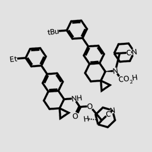 CC(C)(C)c1cccc(-c2ccc3c(c2)CCC2(CC2)[C@@H]3N(C(=O)O)C2CN3CCC2CC3)c1.CCc1cccc(-c2ccc3c(c2)CCC2(CC2)C3NC(=O)O[C@H]2CN3CCC2CC3)c1